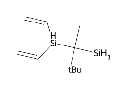 C=C[SiH](C=C)C(C)([SiH3])C(C)(C)C